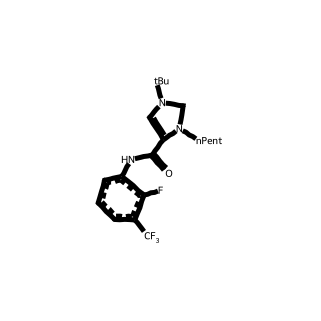 CCCCCN1CN(C(C)(C)C)C=C1C(=O)Nc1cccc(C(F)(F)F)c1F